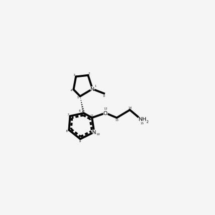 CN1CCC[C@H]1c1cccnc1OCCN